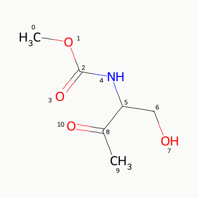 COC(=O)NC(CO)C(C)=O